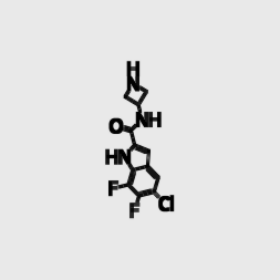 O=C(NC1CNC1)c1cc2cc(Cl)c(F)c(F)c2[nH]1